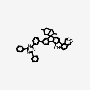 CC1CC2CC(C)C3(c4cc(-c5cccc(-c6nc(-c7ccccc7)nc(-c7ccccc7)n6)c5)ccc4-c4c3ccc(-c3cccc5cnccc35)c4C#N)C(C1)C2